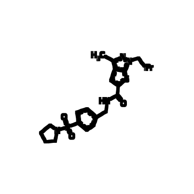 Cc1nn(CC(C)C)c2sc(C(=O)NCc3ccc(S(=O)(=O)N4CCCC4)cc3)cc12